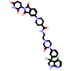 CCC1(c2cccc(N3CCN(CCNC(=O)C4CCN(c5ccc6c(c5)C(=O)N(C5CCC(=O)NC5=O)C6=O)CC4)CC3=O)c2)CNc2nccc(Cl)c21